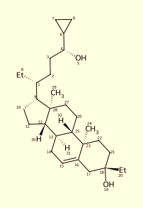 CC[C@H](CC[C@@H](O)C1CC1)[C@H]1CC[C@H]2[C@@H]3CC=C4C[C@](O)(CC)CC[C@]4(C)[C@H]3CC[C@]12C